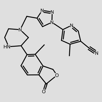 Cc1cc(-n2cc(CN3CCNC(c4ccc5c(c4C)COC5=O)C3)nn2)ncc1C#N